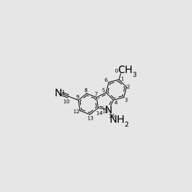 Cc1ccc2c(c1)c1cc(C#N)ccc1n2N